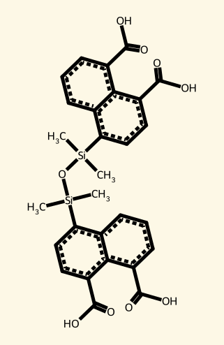 C[Si](C)(O[Si](C)(C)c1ccc(C(=O)O)c2c(C(=O)O)cccc12)c1ccc(C(=O)O)c2c(C(=O)O)cccc12